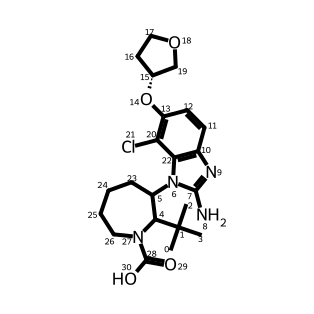 CC(C)(C)C1C(n2c(N)nc3ccc(O[C@@H]4CCOC4)c(Cl)c32)CCCCN1C(=O)O